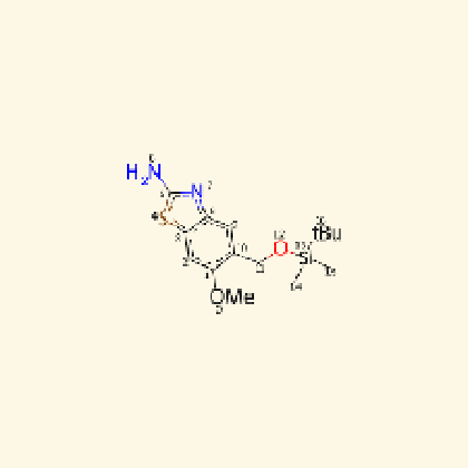 COc1cc2sc(N)nc2cc1CO[Si](C)(C)C(C)(C)C